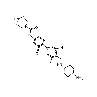 N[C@H]1CC[C@H](NCc2c(F)cc(-n3ccc(NC(=O)N4CCNCC4)nc3=O)cc2F)CC1